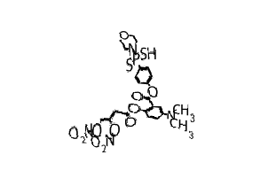 CN(C)c1ccc(OC(=O)CC(CO[N+](=O)[O-])O[N+](=O)[O-])c(C(=O)Oc2ccc(P(=S)(S)N3CCOCC3)cc2)c1